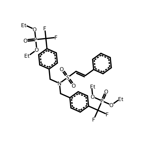 CCOP(=O)(OCC)C(F)(F)c1ccc(CN(Cc2ccc(C(F)(F)P(=O)(OCC)OCC)cc2)S(=O)(=O)C=Cc2ccccc2)cc1